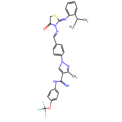 Cc1nn(-c2ccc(/C=N/N3C(=O)CS/C3=N\c3ccccc3C(C)C)cc2)cc1C(=N)Nc1ccc(OC(F)(F)F)cc1